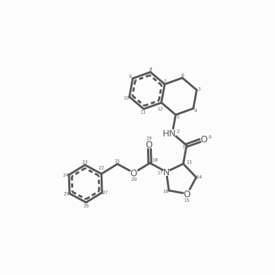 O=C(NC1CCCc2ccccc21)C1COCN1C(=O)OCc1ccccc1